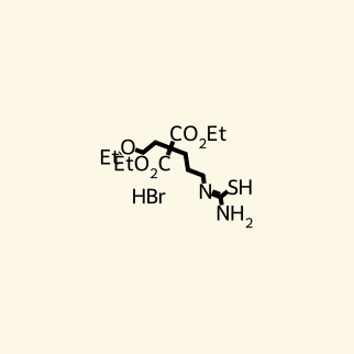 Br.CCOCCC(CCCN=C(N)S)(C(=O)OCC)C(=O)OCC